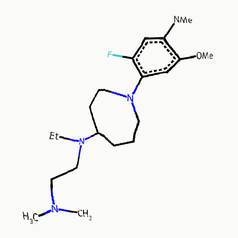 CCN(CCN(C)C)C1CCCN(c2cc(OC)c(NC)cc2F)CC1